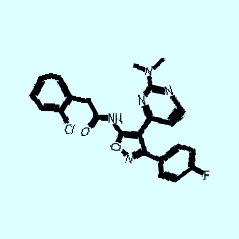 CN(C)c1nccc(-c2c(-c3ccc(F)cc3)noc2NC(=O)Cc2ccccc2Cl)n1